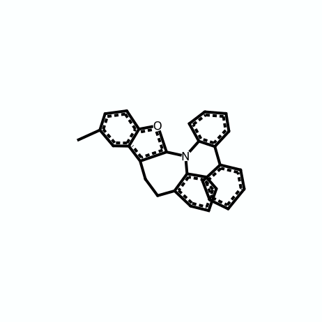 Cc1ccc2oc3c(c2c1)CCc1ccccc1N3c1ccccc1-c1ccccc1